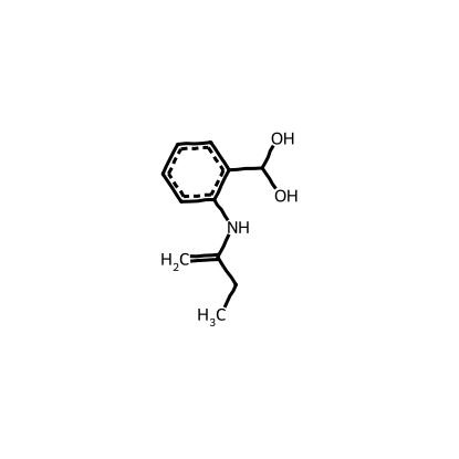 C=C(CC)Nc1ccccc1C(O)O